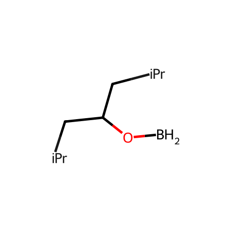 BOC(CC(C)C)CC(C)C